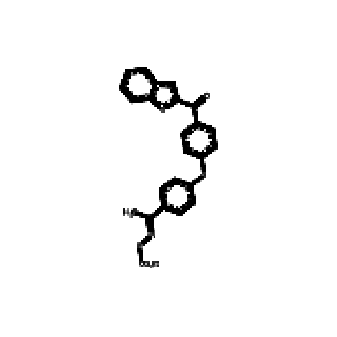 CCOC(=O)O/N=C(\C)c1ccc(Sc2ccc(C(=O)c3cc4ccccc4o3)cc2)cc1